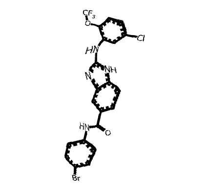 O=C(Nc1ccc(Br)cc1)c1ccc2[nH]c(Nc3cc(Cl)ccc3OC(F)(F)F)nc2c1